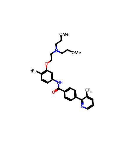 COCCN(CCOC)CCOc1cc(NC(=O)c2ccc(-c3ncccc3C(F)(F)F)cc2)ccc1C(C)(C)C